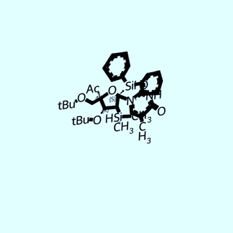 CC(=O)[C@]1(COC(C)(C)C)O[C@](n2cc(C)c(=O)[nH]c2=O)([SiH](c2ccccc2)c2ccccc2)C([SiH](C)C)[C@@H]1OC(C)(C)C